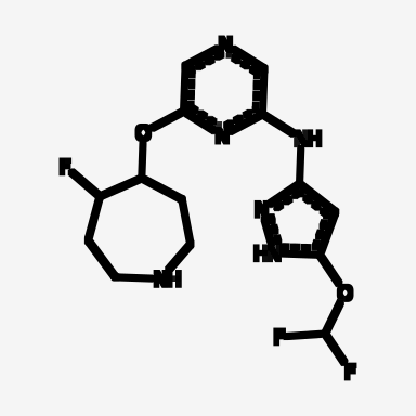 FC(F)Oc1cc(Nc2cncc(OC3CCNCCC3F)n2)n[nH]1